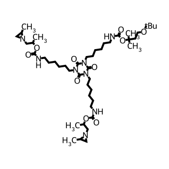 CC(CN1CC1C)OC(=O)NCCCCCCn1c(=O)n(CCCCCCNC(=O)OC(C)CN2CC2C)c(=O)n(CCCCCCNC(=O)OC(C)(C)CCOC(C)(C)C)c1=O